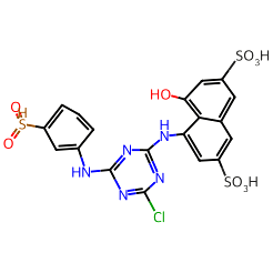 O=[SH](=O)c1cccc(Nc2nc(Cl)nc(Nc3cc(S(=O)(=O)O)cc4cc(S(=O)(=O)O)cc(O)c34)n2)c1